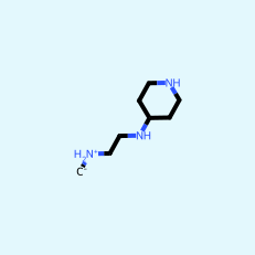 [CH2-][NH2+]CCNC1CCNCC1